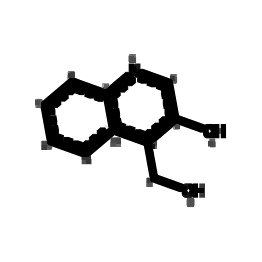 OCc1c(O)cnc2ccccc12